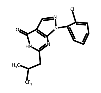 CC(Cc1nc2c(cnn2-c2ccccc2Cl)c(=O)[nH]1)C(F)(F)F